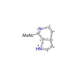 CNc1nccc2cc[nH]c12